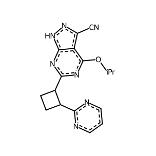 CC(C)Oc1nc(C2CCC2c2ncccn2)nc2[nH]nc(C#N)c12